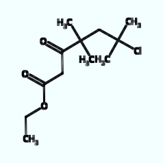 CCOC(=O)CC(=O)C(C)(C)CC(C)(C)Cl